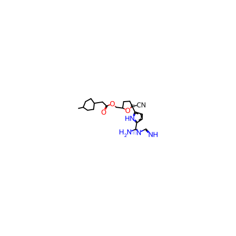 CC1CCC(CC(=O)OCC2CC[C@](C#N)(c3ccc(/C(N)=N\C=N)[nH]3)O2)CC1